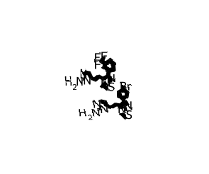 Nc1nccc(C=Cc2c(-c3ccc(Br)cc3)nc3sccn23)n1.Nc1nccc(C=Cc2c(-c3cccc(C(F)(F)F)c3)nc3sccn23)n1